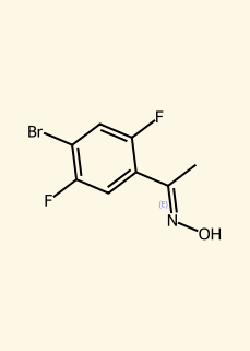 C/C(=N\O)c1cc(F)c(Br)cc1F